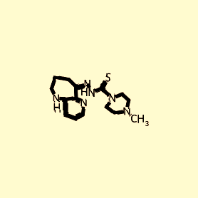 CN1CCN(C(=S)N/N=C2/CCCNc3cccnc32)CC1